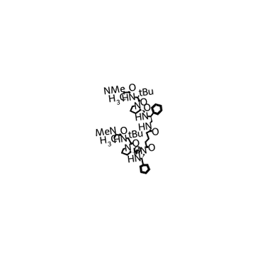 CN[C@@H](C)C(=O)N[C@H](C(=O)N1CCC[C@H]1C(=O)N[C@H](CNC(=O)CCCC(=O)NC[C@@H](NC(=O)[C@@H]1CCCN1C(=O)[C@@H](NC(=O)[C@H](C)NC)C(C)(C)C)c1ccccc1)c1ccccc1)C(C)(C)C